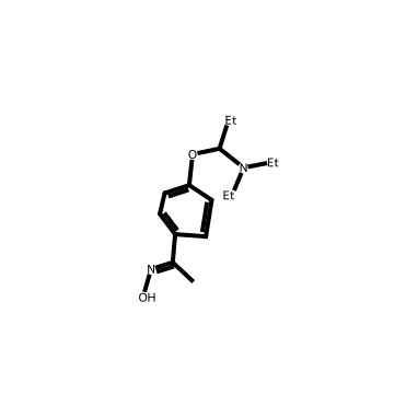 CCC(Oc1ccc(/C(C)=N/O)cc1)N(CC)CC